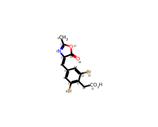 CC1=NC(=Cc2cc(Br)c(CC(=O)O)c(Br)c2)C(=O)O1